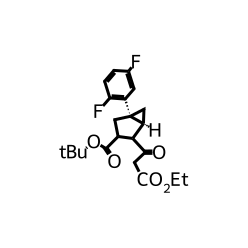 CCOC(=O)CC(=O)C1C(C(=O)OC(C)(C)C)C[C@@]2(c3cc(F)ccc3F)C[C@@H]12